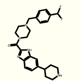 O=C(c1nc2ccc(C3CCNCC3)cc2[nH]1)N1CCN(Cc2ccc(C(F)F)cc2)CC1